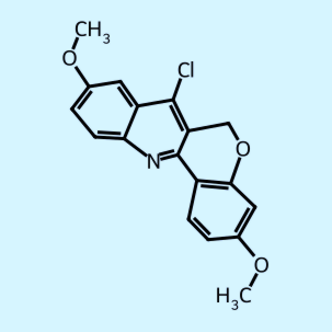 COc1ccc2c(c1)OCc1c-2nc2ccc(OC)cc2c1Cl